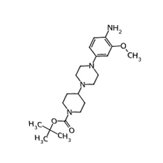 COc1cc(N2CCN(C3CCN(C(=O)OC(C)(C)C)CC3)CC2)ccc1N